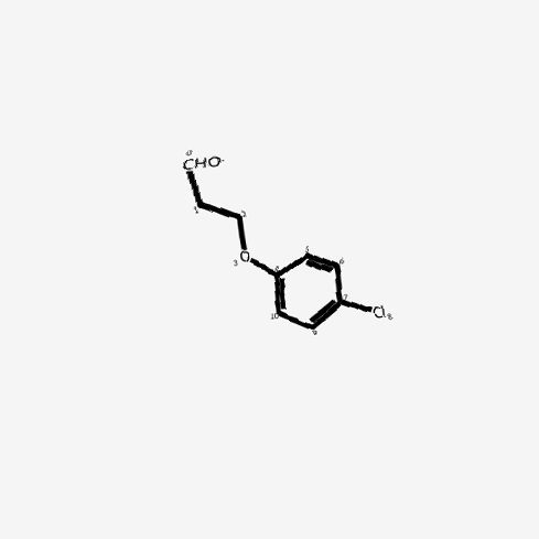 O=[C]CCOc1ccc(Cl)cc1